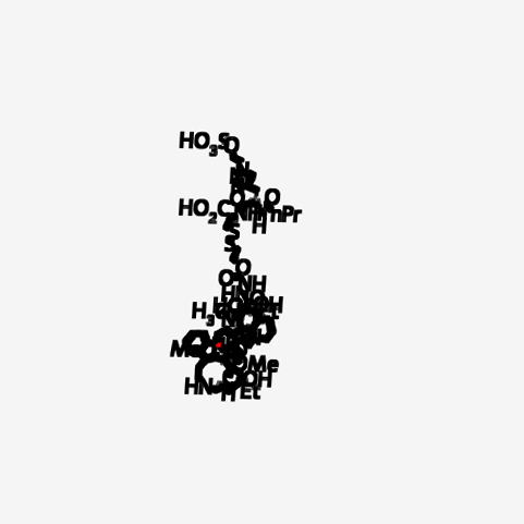 CCCC(=O)N[C@@H](Cc1cn(CCOS(=O)(=O)O)nn1)C(=O)N[C@H](CSSCCOC(=O)NNC(=O)[C@@]1(O)[C@H](O)[C@]2(CC)C=CCN3CC[C@@]4(c5cc([C@]6(C(=O)OC)c7[nH]c8ccccc8c7CCNC[C@H]7CC6C[C@](O)(CC)C7)c(OC)cc5N(C)[C@@H]14)[C@@H]32)C(=O)O